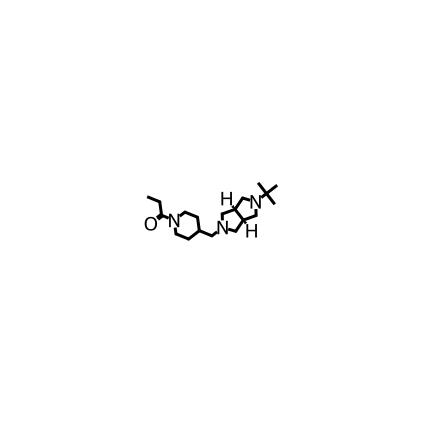 CCC(=O)N1CCC(CN2C[C@@H]3CN(C(C)(C)C)C[C@@H]3C2)CC1